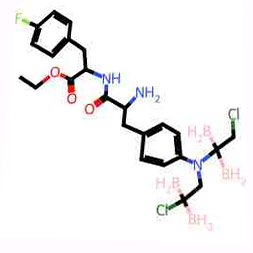 BC(B)(Cl)CN(c1ccc(CC(N)C(=O)NC(Cc2ccc(F)cc2)C(=O)OCC)cc1)C(B)(B)CCl